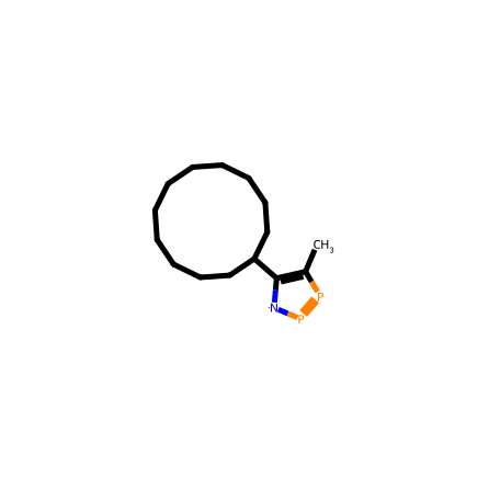 CC1=C(C2CCCCCCCCCCC2)[N]P=P1